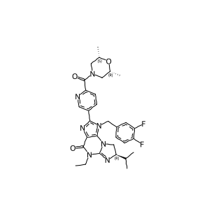 CCN1C(=O)c2nc(-c3ccc(C(=O)N4C[C@@H](C)O[C@@H](C)C4)nc3)n(Cc3ccc(F)c(F)c3)c2N2C[C@@H](C(C)C)N=C12